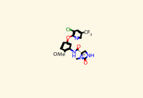 COc1ccc(Oc2ncc(C(F)(F)F)cc2Cl)cc1NC(=O)[C@@H]1CNC(=O)N1C